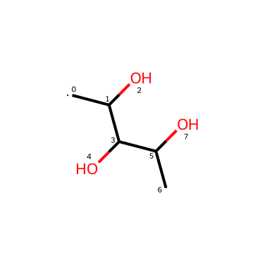 [CH2]C(O)C(O)C(C)O